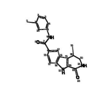 Cc1cccc(NC(=O)c2ccc3[nH]c4c(c3c2)C(C)CNC4=O)c1